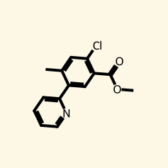 COC(=O)c1cc(-c2ccccn2)c(C)cc1Cl